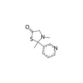 CN1CC(=O)SC1(C)c1cccnc1